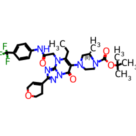 CCc1c(N2CCN(C(=O)OC(C)(C)C)[C@H](C)C2)c(=O)n2nc(C3=CCOCC3)nc2n1CC(=O)Nc1ccc(C(F)(F)F)cc1